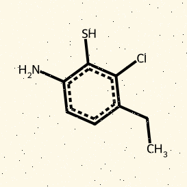 CCc1ccc(N)c(S)c1Cl